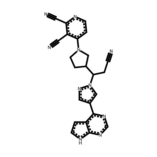 N#CCC(C1CCN(c2ccnc(C#N)c2C#N)C1)n1cc(-c2ncnc3[nH]ccc23)cn1